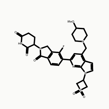 COC1CCN(Cc2cc(-c3ccc4c(c3F)CN(C3CCC(=O)NC3=O)C4=O)nc3c2ccn3C2CS(=O)(=O)C2)CC1